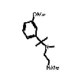 CNCCN(C)C(C)(C)c1cccc(OC)c1